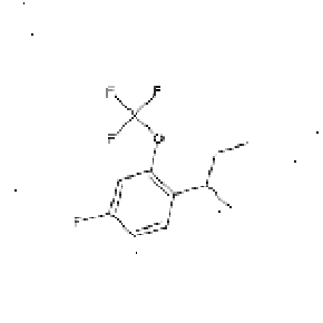 CCC(C)c1ccc(F)cc1OC(F)(F)F